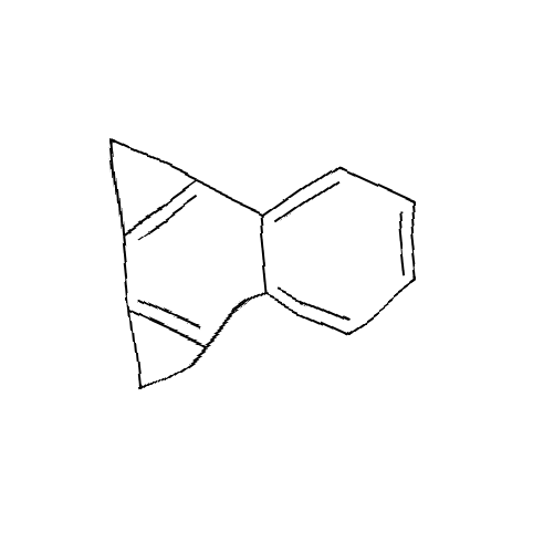 c1ccc2c3c(c4c(c2c1)C4)C3